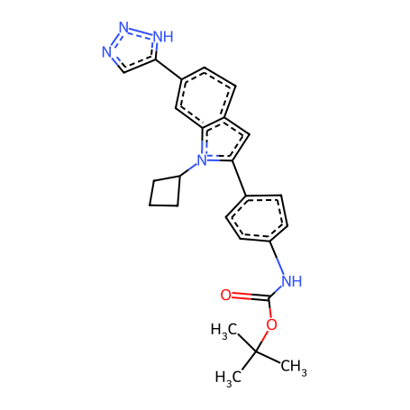 CC(C)(C)OC(=O)Nc1ccc(-c2cc3ccc(-c4cnn[nH]4)cc3n2C2CCC2)cc1